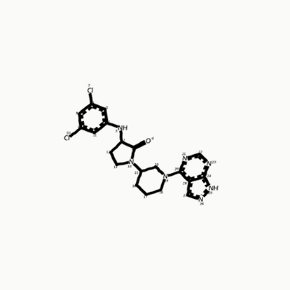 O=C1C(Nc2cc(Cl)cc(Cl)c2)CCN1C1CCCN(c2ncnc3[nH]ncc23)C1